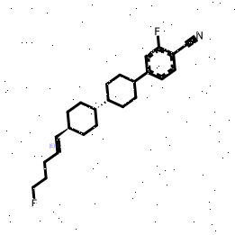 N#Cc1ccc(C2CCC([C@H]3CC[C@H](/C=C/CCCF)CC3)CC2)cc1F